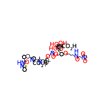 CC1=C(c2ccc(C3CCc4cccc(C(=O)Nc5nc6ccccc6s5)c4C3)nc2C(=O)O)C=NC1CC12CC3(C)CC(C)(C1)CC(OCCN(C)C(=O)OCc1ccc(OCCCCCNC(=O)CCN4C(=O)C=CC4=O)cc1C[C@@H]1O[C@H](C(=O)O)[C@@H](O)[C@H](O)[C@H]1O)(C3)C2